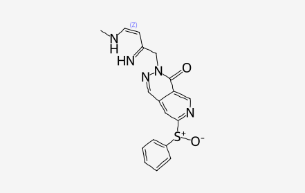 CN/C=C\C(=N)Cn1ncc2cc([S+]([O-])c3ccccc3)ncc2c1=O